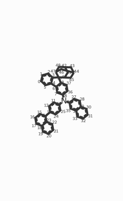 c1ccc2c(c1)-c1cc(N(c3ccc(-c4cccc5ccccc45)cc3)c3ccc4ccccc4c3)ccc1C21C2CC3CC(C2)CC1C3